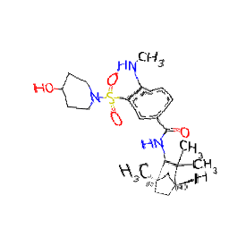 CNc1ccc(C(=O)NC2C(C)(C)[C@@H]3CC[C@]2(C)C3)cc1S(=O)(=O)N1CCC(O)CC1